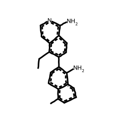 CCc1c(-c2ccc3c(C)cccc3c2N)ccc2c(N)nccc12